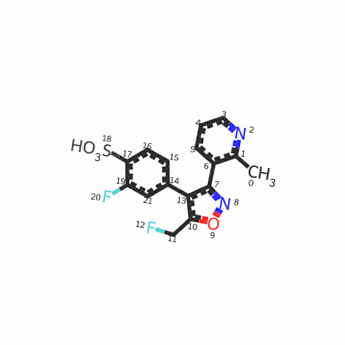 Cc1ncccc1-c1noc(CF)c1-c1ccc(S(=O)(=O)O)c(F)c1